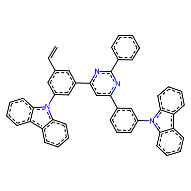 C=Cc1cc(-c2cc(-c3cccc(-n4c5ccccc5c5ccccc54)c3)nc(-c3ccccc3)n2)cc(-n2c3ccccc3c3ccccc32)c1